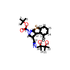 CC(C)(C)OC(=O)n1cc(C#N)c2c3c(B4OC(C)(C)C(C)(C)O4)cccc3sc21